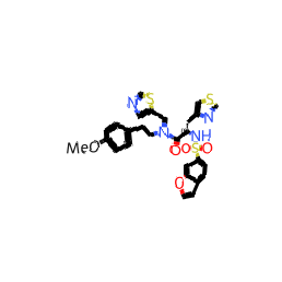 COc1ccc(CCN(Cc2cncs2)C(=O)[C@H](Cc2cscn2)NS(=O)(=O)c2ccc3ccoc3c2)cc1